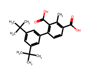 Cc1c(C(=O)O)ccc(-c2cc(C(C)(C)C)cc(C(C)(C)C)c2)c1C(=O)O